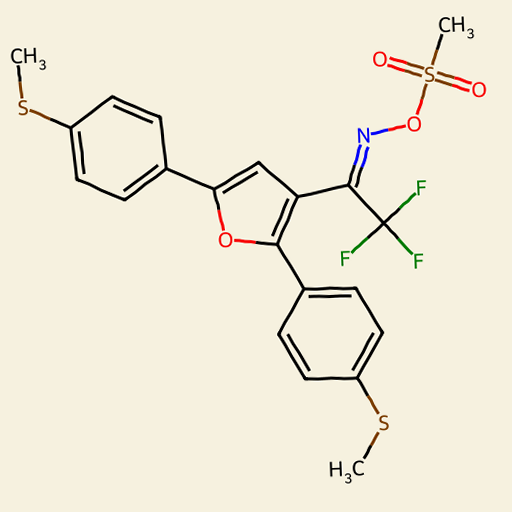 CSc1ccc(-c2cc(C(=NOS(C)(=O)=O)C(F)(F)F)c(-c3ccc(SC)cc3)o2)cc1